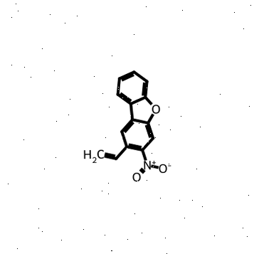 C=Cc1cc2c(cc1[N+](=O)[O-])oc1ccccc12